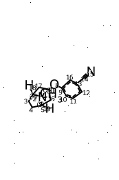 CN1[C@@H]2CC[C@H]1C[C@H](Oc1cccc(C#N)c1)C2